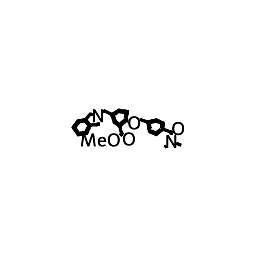 COC(=O)c1cc(CN2Cc3ccccc3C2)ccc1OCc1ccc(C(=O)N(C)C)cc1